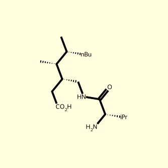 CCCC[C@@H](C)[C@@H](C)[C@H](CNC(=O)[C@@H](N)C(C)C)CC(=O)O